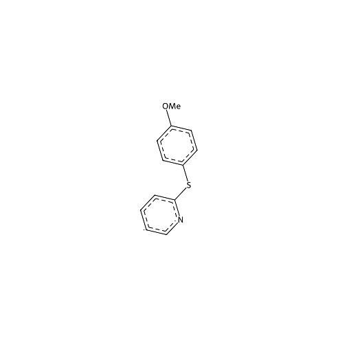 COc1ccc(Sc2cc[c]cn2)cc1